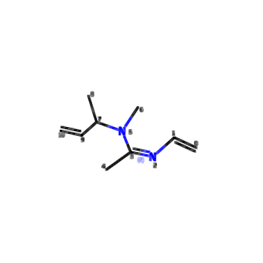 C=C/N=C(/C)N(C)C(C)C=C